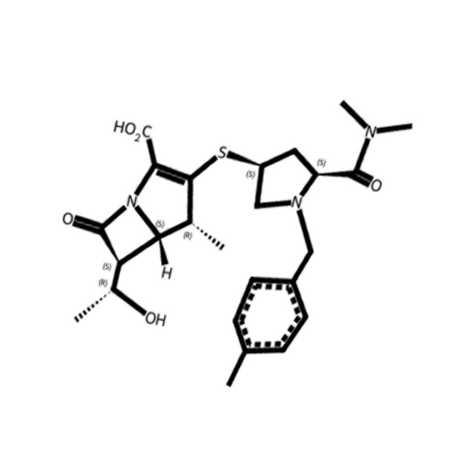 Cc1ccc(CN2C[C@@H](SC3=C(C(=O)O)N4C(=O)[C@H]([C@@H](C)O)[C@H]4[C@H]3C)C[C@H]2C(=O)N(C)C)cc1